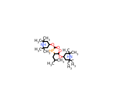 CC(C)CC(PC(=O)OC1CC(C)(C)NC(C)(C)C1)C(=O)OC1CC(C)(C)NC(C)(C)C1